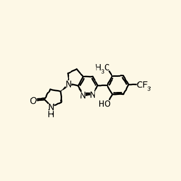 Cc1cc(C(F)(F)F)cc(O)c1-c1cc2c(nn1)N([C@H]1CNC(=O)C1)CC2